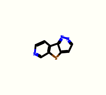 c1cc2c(cn1)sc1ccnnc12